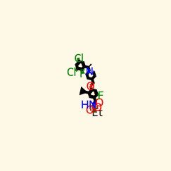 CCS(=O)(=O)NC(=O)c1cc(C2CC2)c(OCC2CCN([C@H](C)c3cc(Cl)cc(Cl)c3F)CC2)cc1F